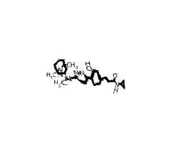 CN(c1ccc(-c2ccc(/C=C/C(=O)NC3CC3)cc2O)nn1)[C@H]1C[C@]2(C)CCC[C@](C)(C1)N2